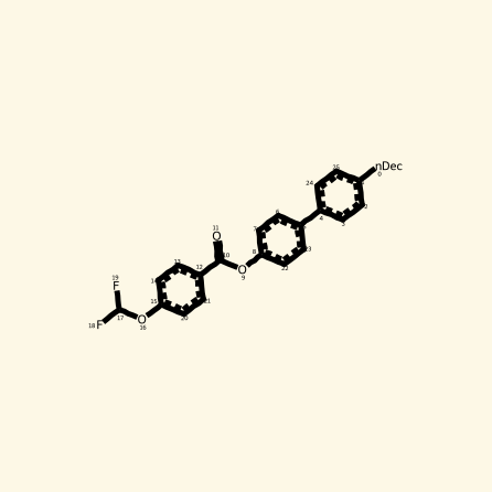 CCCCCCCCCCc1ccc(-c2ccc(OC(=O)c3ccc(OC(F)F)cc3)cc2)cc1